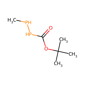 CPPC(=O)OC(C)(C)C